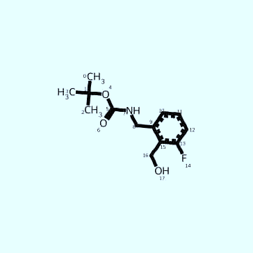 CC(C)(C)OC(=O)NCc1cccc(F)c1CO